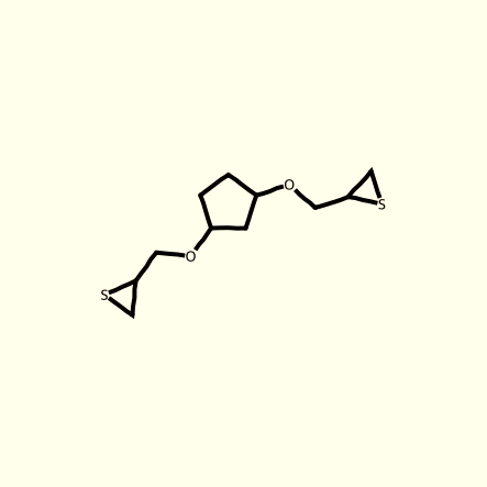 C1CC(OCC2CS2)CC1OCC1CS1